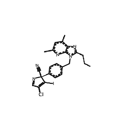 CCCc1nc2c(C)cc(C)nc2n1Cc1ccc(C2(C#N)N=CC(Cl)=C2I)cc1